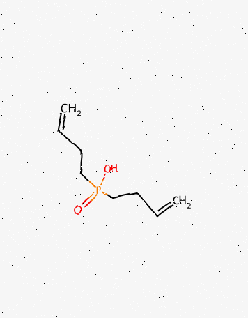 C=CCCP(=O)(O)CCC=C